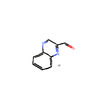 O=Cc1cnc2ccccc2n1.[H+]